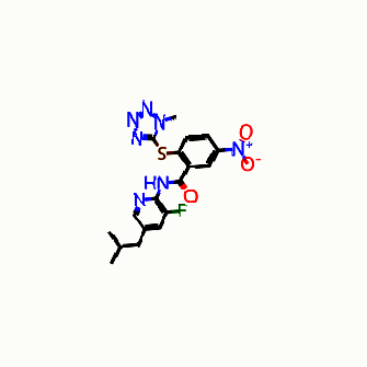 CC(C)Cc1cnc(NC(=O)c2cc([N+](=O)[O-])ccc2Sc2nnnn2C)c(F)c1